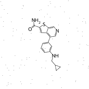 NC(=O)c1cc2c(-c3cccc(NCC4CC4)c3)cncc2s1